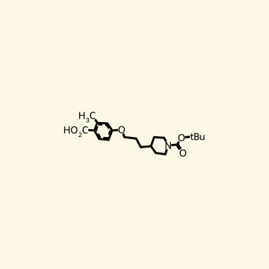 Cc1cc(OCCCC2CCN(C(=O)OC(C)(C)C)CC2)ccc1C(=O)O